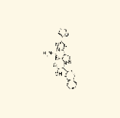 Nc1nc2c(cnn2C(C(=O)O)c2ccc3ccccc3c2)c2nc(-c3ccco3)nn12